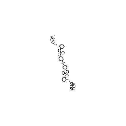 CC(C)(c1ccc(OC(=O)Oc2ccccc2CCC[Si](C)(C)O[Si](C)(C)C)cc1)c1ccc(OC(=O)Oc2ccccc2CCC[Si](C)(C)O[Si](C)(C)C)cc1